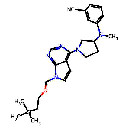 CN(c1cccc(C#N)c1)C1CCN(c2ncnc3c2ccn3COCC[Si](C)(C)C)C1